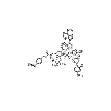 CC(C)(C)OC(=O)NC(CCCNC(=O)OCc1ccc(N=[N+]=[N-])cc1)C(=O)O[C@H]1[C@@H](O)[C@H](n2cnc3c(N)ncnc32)O[C@@H]1COP(=O)(O)O[C@H]1C[C@H](n2ccc(N)nc2=O)O[C@@H]1COP(=O)(O)O